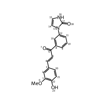 COc1cc(/C=C/C(=O)c2cccc(-n3cc[nH]c3=O)c2)ccc1O